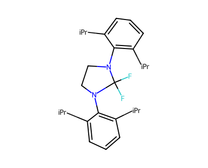 CC(C)c1cccc(C(C)C)c1N1CCN(c2c(C(C)C)cccc2C(C)C)C1(F)F